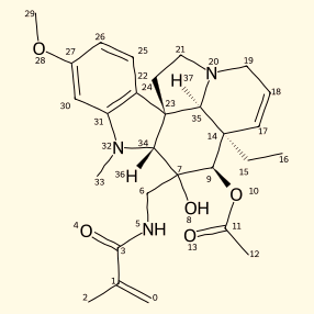 C=C(C)C(=O)NCC1(O)[C@H](OC(C)=O)[C@]2(CC)C=CCN3CC[C@@]4(c5ccc(OC)cc5N(C)[C@@H]14)[C@@H]32